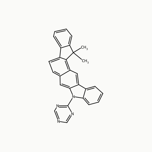 CC1(C)c2ccccc2-c2ccc3cc4c(cc3c21)c1ccccc1n4-c1ncncn1